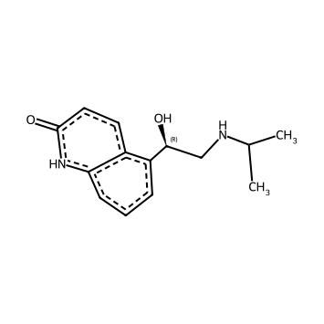 CC(C)NC[C@H](O)c1cccc2[nH]c(=O)ccc12